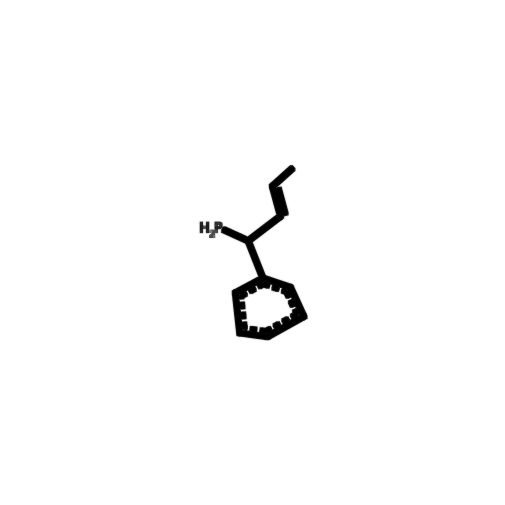 CC=CC(P)c1ccccc1